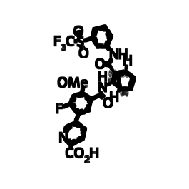 COc1cc(F)c(-c2ccc(C(=O)O)nc2)cc1C(=O)N[C@H]1[C@@H](C(=O)Nc2cccc(S(=O)(=O)C(F)(F)F)c2)[C@@H]2C=C[C@H]1C2